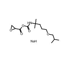 CC(C)COCCCC(C)(C)NC(=O)OC(=O)C1CO1.[NaH]